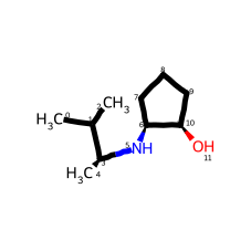 CC(C)[C@H](C)N[C@H]1CCC[C@H]1O